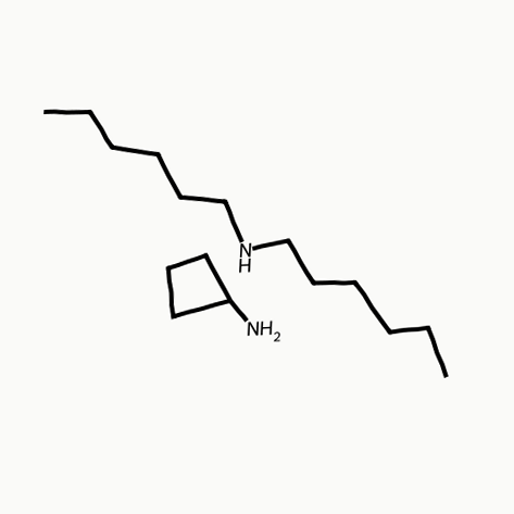 CCCCCCNCCCCCC.NC1CCC1